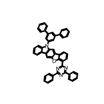 c1ccc(-c2cc(-c3ccccc3)cc(-n3c4ccccc4c4cc5oc6c(-c7nc(-c8ccccc8)nc(-c8ccccc8)n7)cccc6c5cc43)c2)cc1